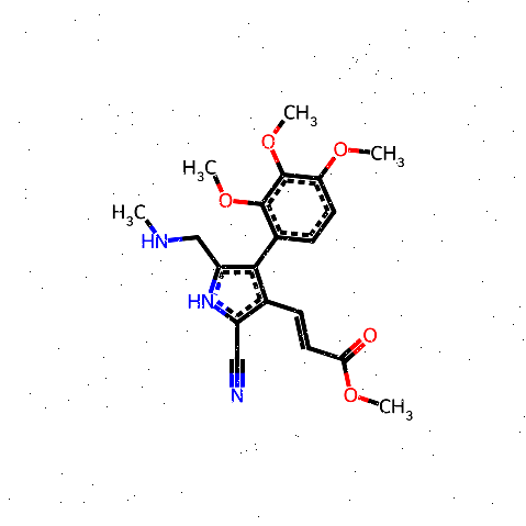 CNCc1[nH]c(C#N)c(C=CC(=O)OC)c1-c1ccc(OC)c(OC)c1OC